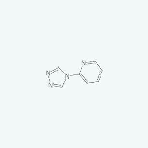 [c]1nncn1-c1ccccn1